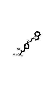 COC(=O)/C(C#N)=C/c1ccc(OCCn2ccc3ccccc32)cc1